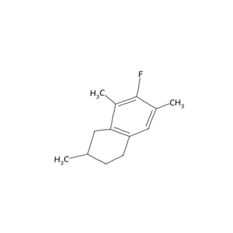 Cc1cc2c(c(C)c1F)CC(C)CC2